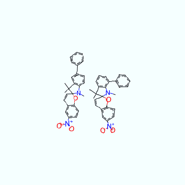 CN1c2c(-c3ccccc3)cccc2C(C)(C)C12C=Cc1cc([N+](=O)[O-])ccc1O2.CN1c2ccc(-c3ccccc3)cc2C(C)(C)C12C=Cc1cc([N+](=O)[O-])ccc1O2